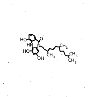 CC(C)CCCC(C)CCCC(C)CCN1C(=O)c2cccc(O)c2Nc2c(O)cc(O)cc21